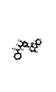 O=C(NC(O)C1CCCCCC1)c1cc(-n2ncc(=O)n(CC3(O)CCOCC3)c2=O)ccc1Cl